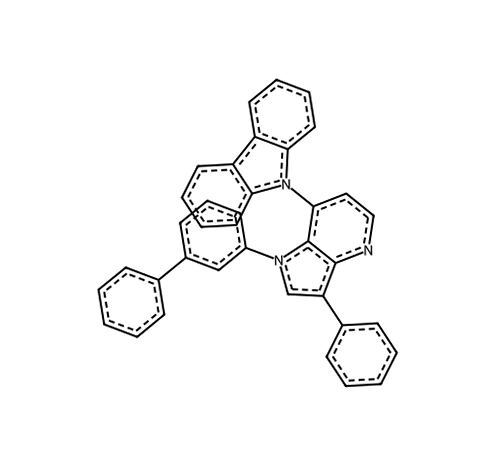 c1ccc(-c2cccc(-n3cc(-c4ccccc4)c4nccc(-n5c6ccccc6c6ccccc65)c43)c2)cc1